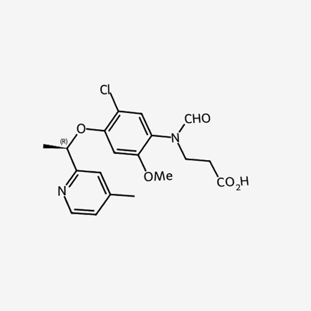 COc1cc(O[C@H](C)c2cc(C)ccn2)c(Cl)cc1N(C=O)CCC(=O)O